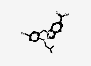 CC(C)COc1ccc(Br)cc1Cn1ncc2ccc(C(=O)O)cc21